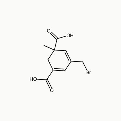 CC1(C(=O)O)C=C(CBr)C=C(C(=O)O)C1